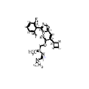 C=N/C=N\N(C)COc1nn2c(-c3c(F)cccc3F)nnc2cc1C1CCC1